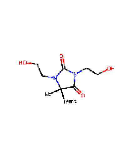 CCCC(C)C1(CC)C(=O)N(CCO)C(=O)N1CCO